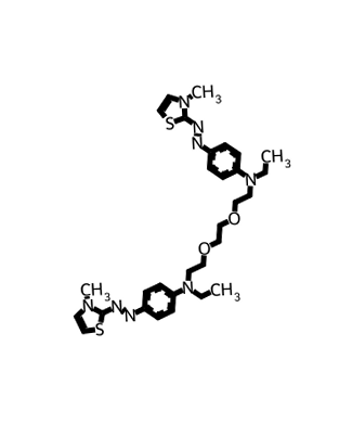 CCN(CCOCCOCCN(CC)c1ccc(N=NC2SC=CN2C)cc1)c1ccc(N=NC2SC=CN2C)cc1